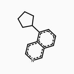 c1cc(C2CCCC2)c2ccncc2c1